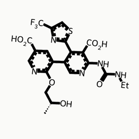 CCNC(=O)Nc1ncc(-c2cc(C(=O)O)cnc2OC[C@@H](C)O)c(-c2nc(C(F)(F)F)cs2)c1C(=O)O